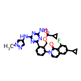 Cn1cc(Nc2nc(N)nc(-c3cccc(-n4ccc5cc(C6CC6)cc(F)c5c4=O)c3COC(=O)C3CC3)n2)cn1